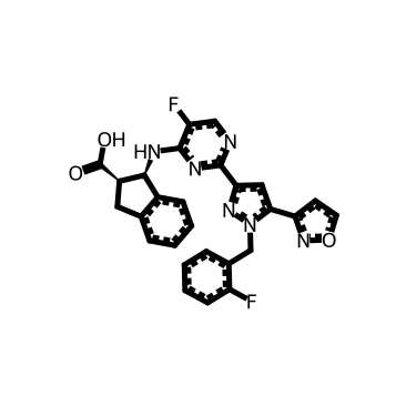 O=C(O)[C@@H]1Cc2ccccc2[C@@H]1Nc1nc(-c2cc(-c3ccon3)n(Cc3ccccc3F)n2)ncc1F